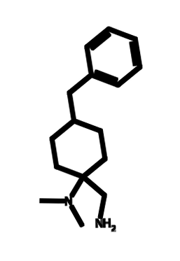 CN(C)C1(CN)CCC(Cc2ccccc2)CC1